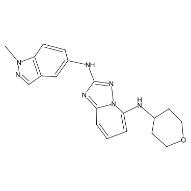 Cn1ncc2cc(Nc3nc4cccc(NC5CCOCC5)n4n3)ccc21